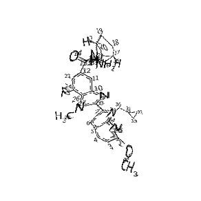 COc1ccc2cc(-c3nc4cc(C(=O)N5C[C@H]6CC[C@@H]5[C@@H]6N)cc(F)c4n3C)n(CC3CC3)c2n1